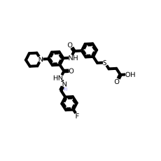 O=C(O)CCSCc1cccc(C(=O)Nc2ccc(N3CCCCC3)cc2C(=O)N/N=C/c2ccc(F)cc2)c1